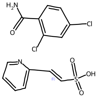 NC(=O)c1ccc(Cl)cc1Cl.O=S(=O)(O)/C=C/c1ccccn1